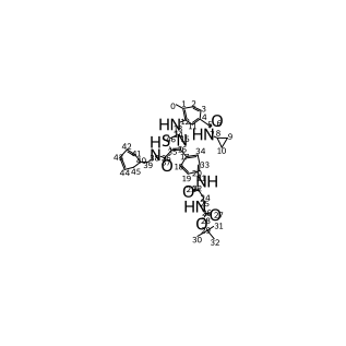 Cc1ccc(C(=O)NC2CC2)cc1Nc1nc(-c2ccc(NC(=O)CNC(=O)OC(C)(C)C)cc2)c(C(=O)NCC2C=CC=CC2)s1